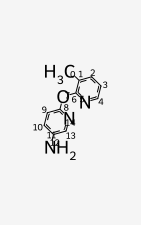 Cc1cccnc1Oc1ccc(N)cn1